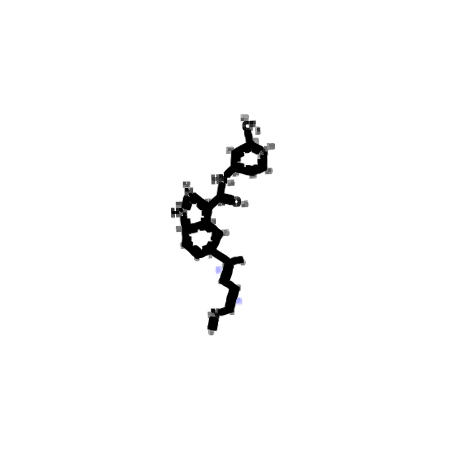 C=N/C=C\C=C(/C)c1ccc2[nH]nc(C(=O)Nc3ccnc(C(F)(F)F)c3)c2c1